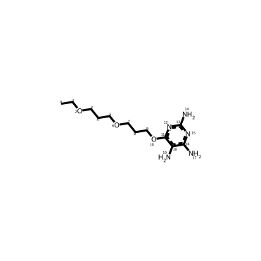 CCOCCCOCCCOc1nc(N)nc(N)c1N